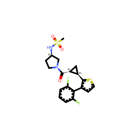 CS(=O)(=O)N[C@@H]1CCN(C(=O)[C@@H]2C[C@H]2c2sccc2-c2c(F)cccc2F)C1